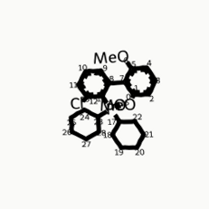 COc1cccc(OC)c1-c1cccc(Cl)c1P(=O)(C1CCCCC1)C1CCCCC1